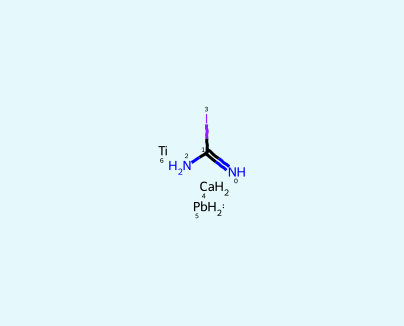 N=C(N)I.[CaH2].[PbH2].[Ti]